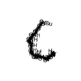 Cn1cc(NC(=O)c2nc(NC(=O)CCNC(=O)c3cc(NC(=O)c4nccn4C)cn3C)cn2C)cc1C(=O)NCCC(=O)Nc1cn(C)c(C(=O)NCCC(=O)NCCOCCOCCOCCC(=O)OC(C)(C)C)n1